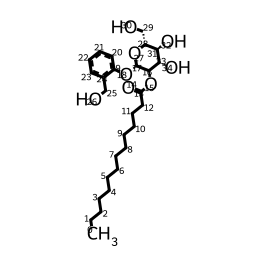 CCCCCCCCCCCCCC(=O)O[C@H]1[C@H](Oc2ccccc2CO)O[C@H](CO)[C@@H](O)[C@@H]1O